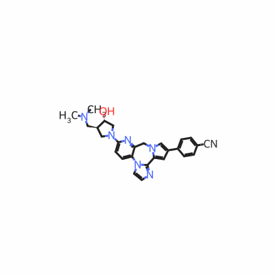 CN(C)C[C@@H]1CN(c2ccc3c(n2)Cn2cc(-c4ccc(C#N)cc4)cc2-c2nccn2-3)C[C@H]1O